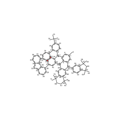 Cc1cc2c3c(c1)N(c1ccc(C(C)(C)C)cc1-c1ccccc1)c1ccc(-c4cccc5sc6ccccc6c45)cc1B3c1cc3c(cc1N2c1ccc2c(c1)C(C)(C)CC2(C)C)C(C)(C)CCC3(C)C